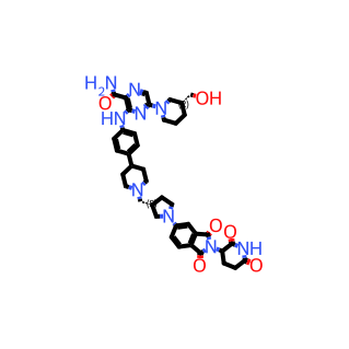 NC(=O)c1ncc(N2CCC[C@@H](CO)C2)nc1Nc1ccc(C2CCN(C[C@@H]3CCN(c4ccc5c(c4)C(=O)N(C4CCC(=O)NC4=O)C5=O)C3)CC2)cc1